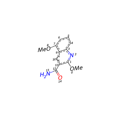 COc1nc2cccc(OC)c2cc1C(N)=O